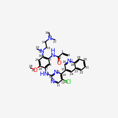 C=CC(=O)Nc1cc(Nc2ncc(Cl)c(-c3cnc4ccccc4c3)n2)c(OC)cc1N(C)CCN(C)C